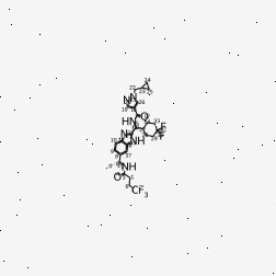 C[C@@H](NC(=O)CCC(F)(F)F)c1ccc2nc([C@@H](NC(=O)c3cnn(CC4CC4)c3)C3CCC(F)(F)CC3)[nH]c2c1